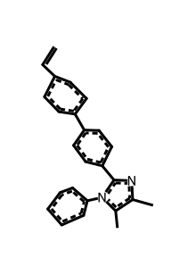 C=Cc1ccc(-c2ccc(-c3nc(C)c(C)n3-c3ccccc3)cc2)cc1